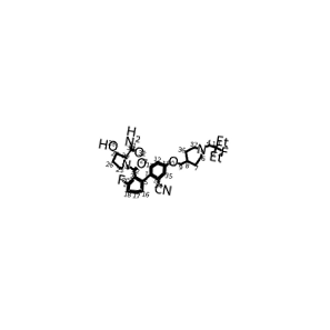 CCC(F)(CC)CN1CCC(COc2ccc(-c3cccc(F)c3C(=O)N3CC[C@H](O)[C@H]3C(N)=O)c(C#N)c2)CC1